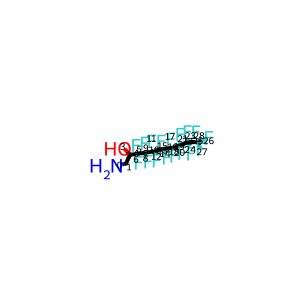 NCC(O)C(F)(F)C(F)(F)C(F)(F)C(F)(F)C(F)(F)C(F)(F)C(F)(F)C(F)(F)F